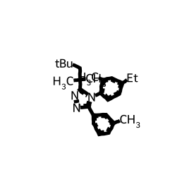 CCc1ccc(-n2c(-c3cccc(C)c3)nnc2C(C)(C)CC(C)(C)C)c(C)c1